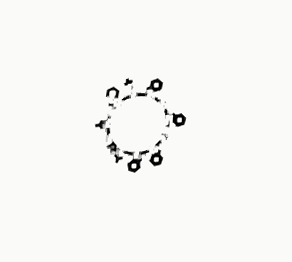 CC(C)C[C@@H]1NC(=O)[C@H]([C@@H](C)O)NC(=O)[C@H](CC(C)C)N(C)C(=O)C[C@@H](C(=O)N2CCCCC2)NC(=O)[C@H](COC(C)(C)C)NC(=O)[C@H](Cc2ccccc2)NC(=O)[C@H](C)N(C)C(=O)[C@H](Cc2ccccc2)NC(=O)CN(C)C(=O)[C@H](Cc2ccccc2)N(C)C(=O)[C@H](Cc2ccccc2)N(C)C1=O